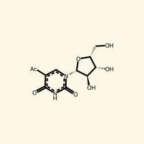 CC(=O)c1cn([C@@H]2O[C@H](CO)[C@H](O)[C@H]2O)c(=O)[nH]c1=O